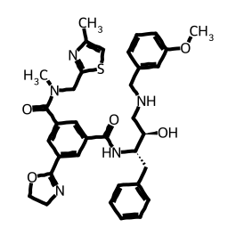 COc1cccc(CNC[C@@H](O)[C@H](Cc2ccccc2)NC(=O)c2cc(C(=O)N(C)Cc3nc(C)cs3)cc(C3=NCCO3)c2)c1